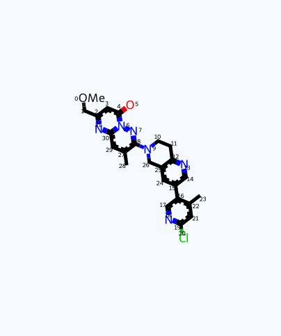 COCc1cc(=O)n2nc(N3CCc4ncc(-c5cnc(Cl)cc5C)cc4C3)c(C)cc2n1